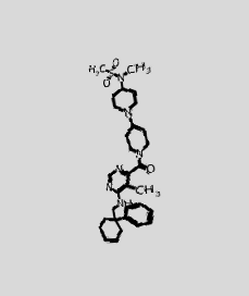 Cc1c(NCC2(c3ccccc3)CCCCC2)ncnc1C(=O)N1CCC(N2CCC(N(C)S(C)(=O)=O)CC2)CC1